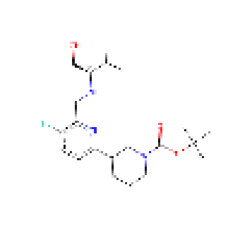 CC(C)[C@H](CO)NCc1nc(C2CCCN(C(=O)OC(C)(C)C)C2)ccc1F